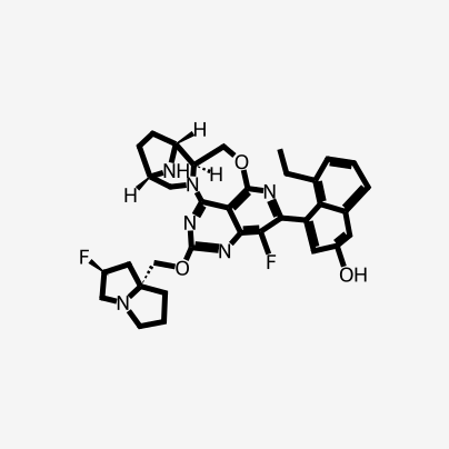 CCc1cccc2cc(O)cc(-c3nc4c5c(nc(OC[C@]67CCCN6C[C@@H](F)C7)nc5c3F)N3C[C@@H]5CC[C@@H](N5)[C@H]3CO4)c12